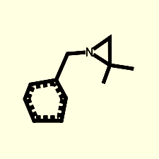 CC1(C)CN1Cc1ccccc1